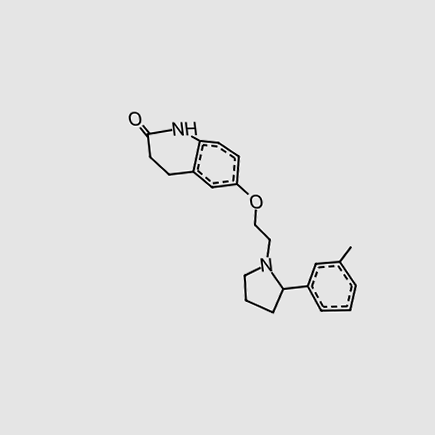 Cc1cccc(C2CCCN2CCOc2ccc3c(c2)CCC(=O)N3)c1